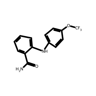 NC(=O)c1ccccc1Nc1ccc(OC(F)(F)F)cc1